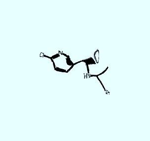 CC(C)C(C)NC(=O)c1ccc(Cl)nc1